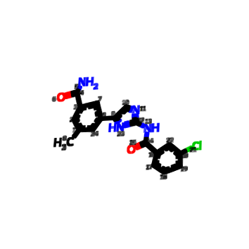 Cc1cc(C(N)=O)cc(-c2cnc(NC(=O)c3cccc(Cl)c3)[nH]2)c1